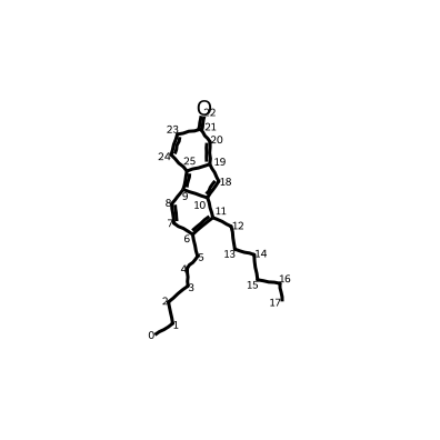 CCCCCCc1ccc2c(c1CCCCCC)=CC1=CC(=O)C=CC=21